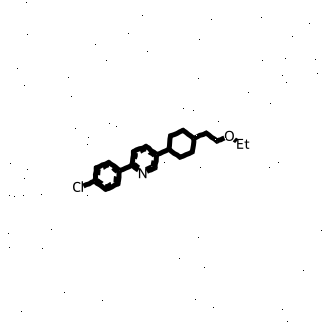 CCOCCC1CCC(c2ccc(-c3ccc(Cl)cc3)nc2)CC1